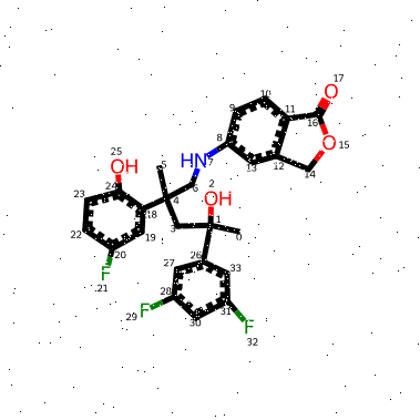 CC(O)(CC(C)(CNc1ccc2c(c1)COC2=O)c1cc(F)ccc1O)c1cc(F)cc(F)c1